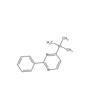 [CH3][Sn]([CH3])([CH3])[c]1ccnc(-c2ccccc2)n1